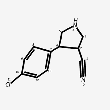 N#CC1CNCC1c1ccc(Cl)cc1